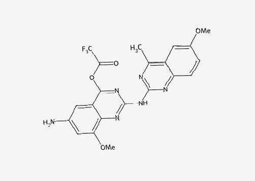 COc1ccc2nc(Nc3nc(OC(=O)C(F)(F)F)c4cc(N)cc(OC)c4n3)nc(C)c2c1